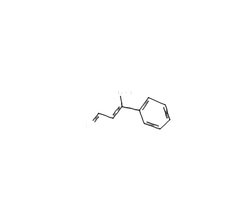 [CH]=CC=C(CCCC)c1ccccc1